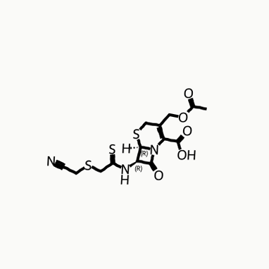 CC(=O)OCC1=C(C(=O)O)N2C(=O)[C@@H](NC(=S)CSCC#N)[C@H]2SC1